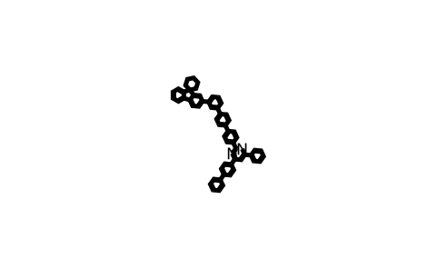 c1ccc(-c2ccc(-c3cc(-c4ccccc4)nc(-c4ccc(-c5ccc(-c6cccc(-c7ccc8c(c7)C7(CCCCC7)c7ccccc7-8)c6)cc5)cc4)n3)cc2)cc1